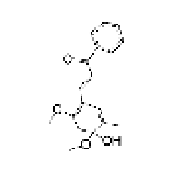 COC1=C(C=CC(=O)c2ccccc2)C=C(C)C(O)(OC)C1